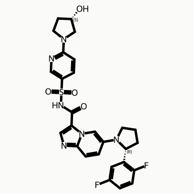 O=C(NS(=O)(=O)c1ccc(N2CC[C@H](O)C2)nc1)c1cnc2ccc(N3CCC[C@@H]3c3cc(F)ccc3F)cn12